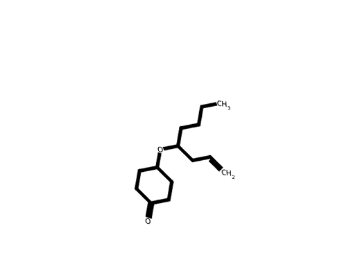 C=CCC(CCCC)OC1CCC(=O)CC1